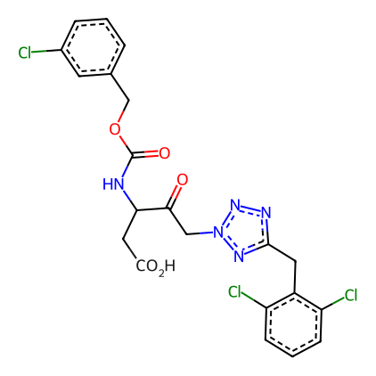 O=C(O)CC(NC(=O)OCc1cccc(Cl)c1)C(=O)Cn1nnc(Cc2c(Cl)cccc2Cl)n1